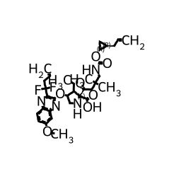 C=CC[C@@H]1C[C@H]1OC(=O)NCC(C)(C)CC(=O)[C@@]1(C(=O)O)NCC(Oc2nc3cc(OC)ccc3nc2C(F)(F)CC=C)C1CC